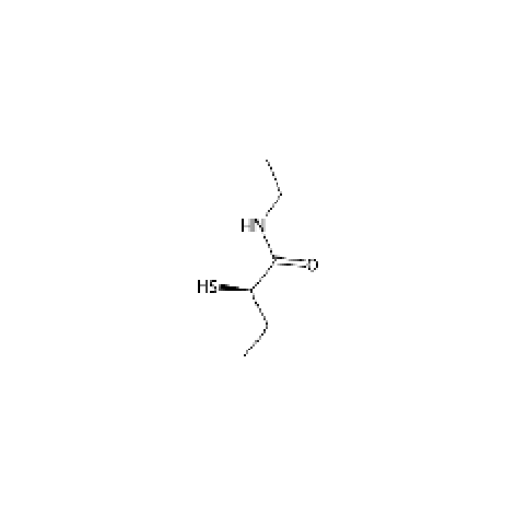 CCNC(=O)[C@H](S)CC